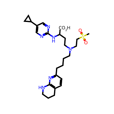 CS(=O)(=O)CCN(CCCCc1ccc2c(n1)NCCC2)CCC(Nc1ncc(C2CC2)cn1)C(=O)O